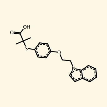 CC(C)(Sc1ccc(OCCn2ccc3ccccc32)cc1)C(=O)O